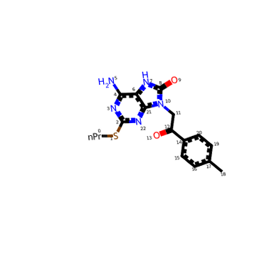 CCCSc1nc(N)c2[nH]c(=O)n(CC(=O)c3ccc(C)cc3)c2n1